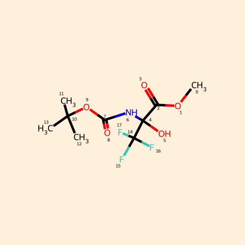 COC(=O)C(O)(NC(=O)OC(C)(C)C)C(F)(F)F